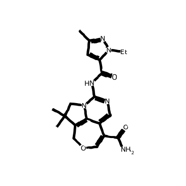 CCn1nc(C)cc1C(=O)NC1=NC=C2C(C(N)=O)=COCC3=C2N1CC3(C)C